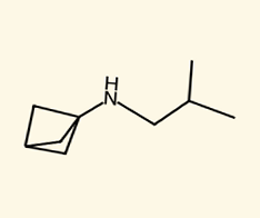 CC(C)CNC12CC(C1)C2